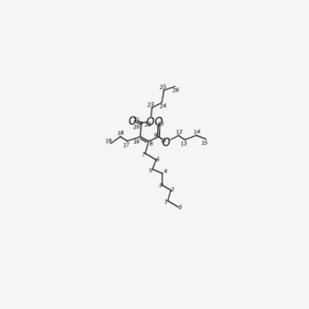 CCCCCCCC/C(C(=O)OCCCC)=C(\CCC)C(=O)OCCCC